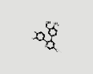 Cc1cnc(-c2ccc(F)c(F)c2)c(-c2ccc(N)c(C=N)c2)c1